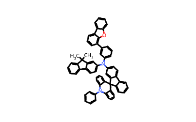 CC1(C)c2ccccc2-c2ccc(N(c3cccc(-c4cccc5c4oc4ccccc45)c3)c3ccc4c(c3)C3(c5ccccc5-4)c4ccccc4N(c4ccccc4)c4ccccc43)cc21